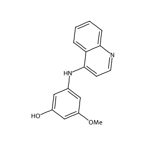 COc1cc(O)cc(Nc2ccnc3ccccc23)c1